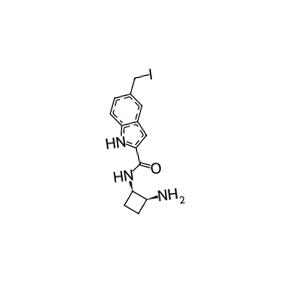 N[C@H]1CC[C@H]1NC(=O)c1cc2cc(CI)ccc2[nH]1